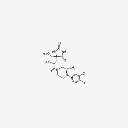 COCC1(CC(C)C(=O)N2CCN(c3ccc(F)c(Cl)c3)C(C)C2)NC(=O)NC1=O